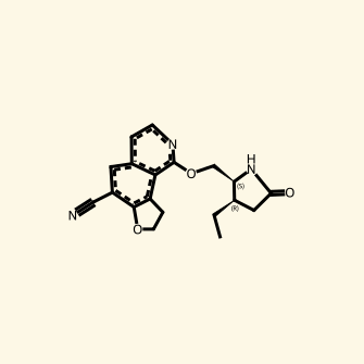 CC[C@@H]1CC(=O)N[C@@H]1COc1nccc2cc(C#N)c3c(c12)CCO3